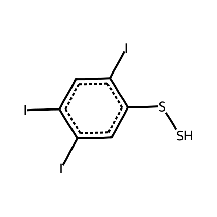 SSc1cc(I)c(I)cc1I